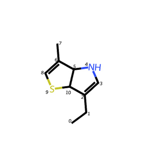 CCC1=CNC2C(C)=CSC12